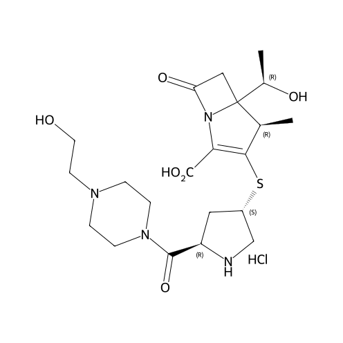 C[C@@H](O)C12CC(=O)N1C(C(=O)O)=C(S[C@@H]1CN[C@@H](C(=O)N3CCN(CCO)CC3)C1)[C@@H]2C.Cl